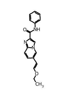 CCO/C=C/c1ccc2nc(C(=O)Nc3ccccc3)cn2c1